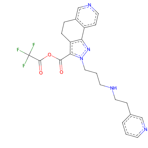 O=C(OC(=O)C(F)(F)F)c1c2c(nn1CCCNCCc1cccnc1)-c1ccncc1CC2